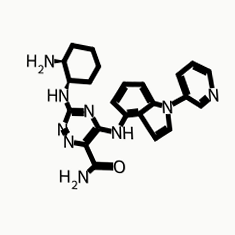 NC(=O)c1nnc(N[C@@H]2CCCC[C@@H]2N)nc1Nc1cccc2c1ccn2-c1cccnc1